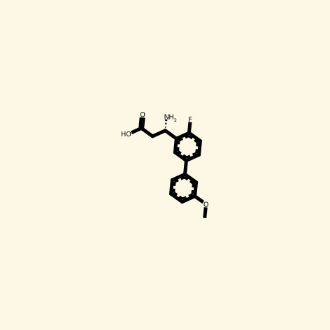 COc1cccc(-c2ccc(F)c([C@@H](N)CC(=O)O)c2)c1